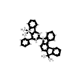 CC1(C)c2ccccc2-c2c1ccc1c2c2ccccc2n1-c1nc(-c2ccccc2)c2c(n1)-c1ccccc1[Si]2(C)C